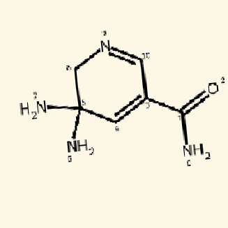 NC(=O)C1=CC(N)(N)CN=C1